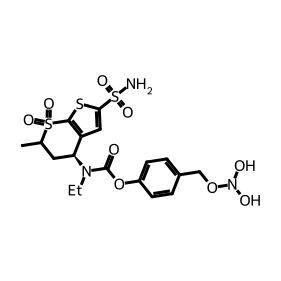 CCN(C(=O)Oc1ccc(CON(O)O)cc1)[C@H]1CC(C)S(=O)(=O)c2sc(S(N)(=O)=O)cc21